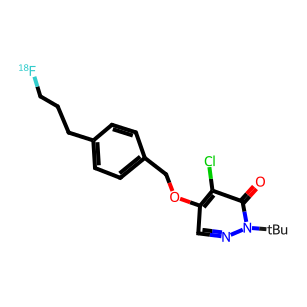 CC(C)(C)n1ncc(OCc2ccc(CCC[18F])cc2)c(Cl)c1=O